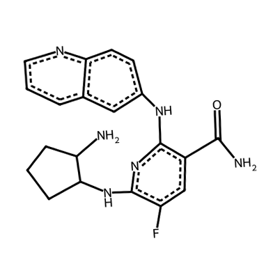 NC(=O)c1cc(F)c(NC2CCCC2N)nc1Nc1ccc2ncccc2c1